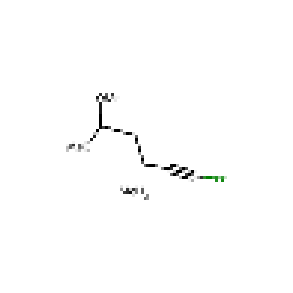 COC(CCC#CBr)OC.[MgH2]